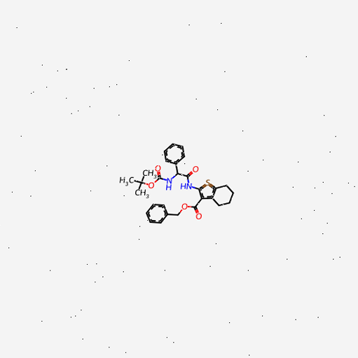 CC(C)(C)OC(=O)NC(C(=O)Nc1sc2c(c1C(=O)OCc1ccccc1)CCCC2)c1ccccc1